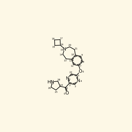 O=C(c1cnc(Oc2ccc3c(c2)CCN(C2CCC2)CC3)cn1)C1CCNC1